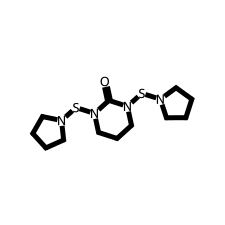 O=C1N(SN2CCCC2)CCCN1SN1CCCC1